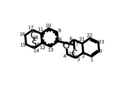 C1=CC2C3COC(C(c4ccc5c(c4)C4CCC5CS4)C3)C2C=C1